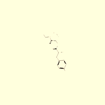 CC(C)C[C@H](NC(=O)[C@@H](N)Cc1ccc(O)cc1)C(=O)NCC(=O)O